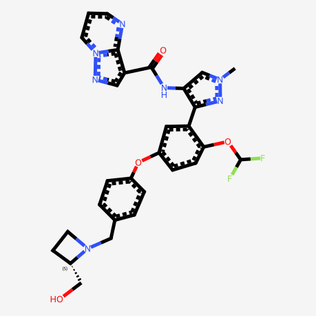 Cn1cc(NC(=O)c2cnn3cccnc23)c(-c2cc(Oc3ccc(CN4CC[C@H]4CO)cc3)ccc2OC(F)F)n1